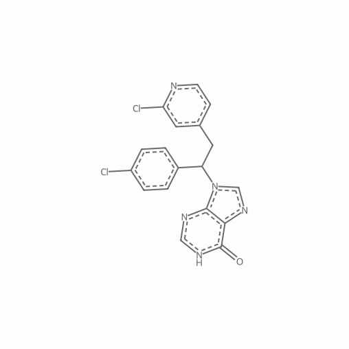 O=c1[nH]cnc2c1ncn2C(Cc1ccnc(Cl)c1)c1ccc(Cl)cc1